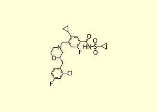 O=C(NS(=O)(=O)C1CC1)c1cc(C2CC2)c(CN2CCO[C@H](Cc3ccc(F)cc3Cl)C2)cc1F